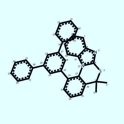 CC1(C)Sc2nc3ccccc3n2-c2c(-c3cc(-c4ccccc4)cc(-c4ccccc4)c3)cccc21